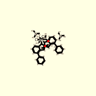 CC1=Cc2c(-c3ccccc3)cccc2[CH]1[Zr]([Cl])([Cl])([I])([I])([CH]1C(C)=Cc2c(-c3ccccc3)cccc21)[SiH](C)C.CN(C)C.CN(C)C